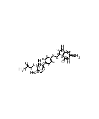 NC(=O)CC[C@H](NC(=O)c1ccc(CCc2c[nH]c3nc(N)[nH]c(=O)c23)cc1)C(=O)O